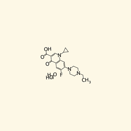 CCN1CCN(c2cc3c(cc2F)c(=O)c(C(=O)O)cn3C2CC2)CC1.Cl.O